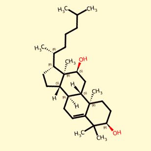 CC(C)CCC[C@@H](C)[C@H]1CC[C@H]2[C@@H]3CC=C4C(C)(C)[C@H](O)CC[C@]4(C)[C@H]3C[C@H](O)[C@]12C